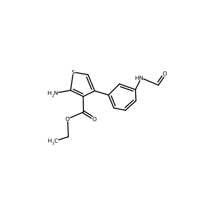 CCOC(=O)c1c(-c2cccc(NC=O)c2)csc1N